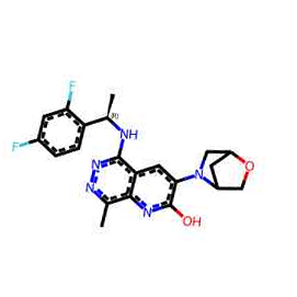 Cc1nnc(N[C@H](C)c2ccc(F)cc2F)c2cc(N3CC4CC3CO4)c(O)nc12